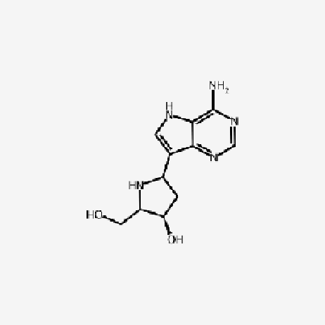 Nc1ncnc2c(C3C[C@@H](O)C(CO)N3)c[nH]c12